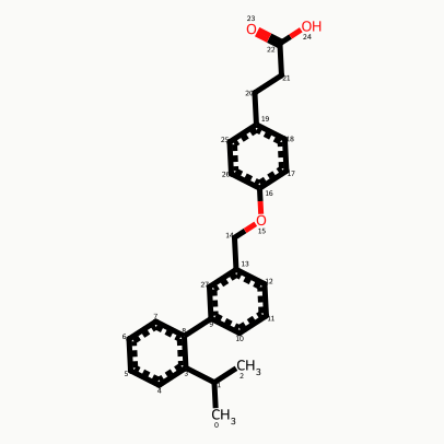 CC(C)c1ccccc1-c1cccc(COc2ccc(CCC(=O)O)cc2)c1